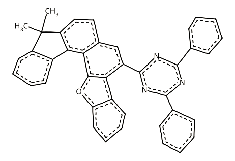 CC1(C)c2ccccc2-c2c1ccc1cc(-c3nc(-c4ccccc4)nc(-c4ccccc4)n3)c3c4ccccc4oc3c21